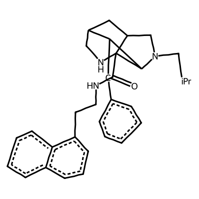 CC(C)CN1CC2CC3CNC2(C(=O)NCCc2cccc4ccccc24)C1C3Cc1ccccc1